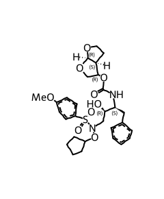 COc1ccc(S(=O)(=O)N(C[C@@H](O)[C@H](Cc2ccccc2)NC(=O)O[C@H]2CO[C@H]3OCC[C@H]32)OC2CCCC2)cc1